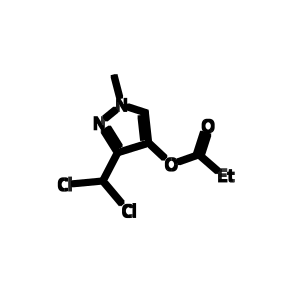 CCC(=O)Oc1cn(C)nc1C(Cl)Cl